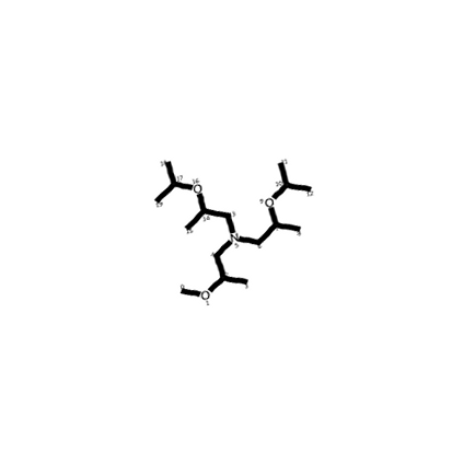 COC(C)CN(CC(C)OC(C)C)CC(C)OC(C)C